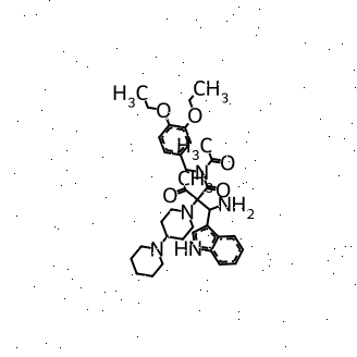 CCOc1ccc(CN(C(C)=O)C(=O)C(C(C)=O)(C(N)c2c[nH]c3ccccc23)N2CCC(N3CCCCC3)CC2)cc1OCC